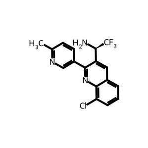 Cc1ccc(-c2nc3c(Cl)cccc3cc2[C@@H](N)C(F)(F)F)cn1